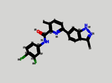 Cc1ccc(-c2ccc3c(C)n[nH]c3c2)nc1C(=O)Nc1ccc(F)c(F)c1